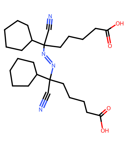 N#CC(CCCCC(=O)O)(N=NC(C#N)(CCCCC(=O)O)C1CCCCC1)C1CCCCC1